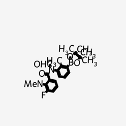 CNc1c(F)cccc1C(=O)N(C=O)c1cccc(B2OC(C)(C)C(C)(C)O2)c1C